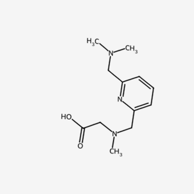 CN(C)Cc1cccc(CN(C)CC(=O)O)n1